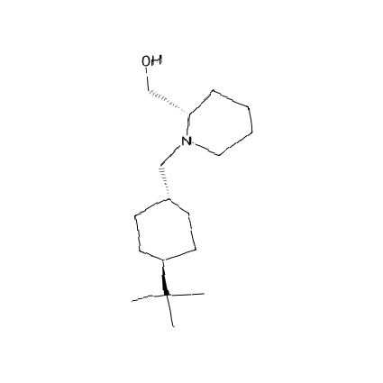 CC(C)(C)[C@H]1CC[C@H](CN2CCCC[C@H]2CO)CC1